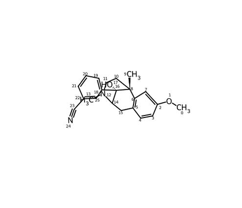 COc1ccc2c(c1)[C@@]1(C)CCN(C)C(C2)[C@@]1(O)c1cccc(C#N)c1